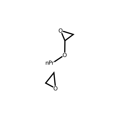 C1CO1.CCCOC1CO1